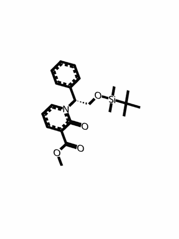 COC(=O)c1cccn([C@@H](CO[Si](C)(C)C(C)(C)C)c2ccccc2)c1=O